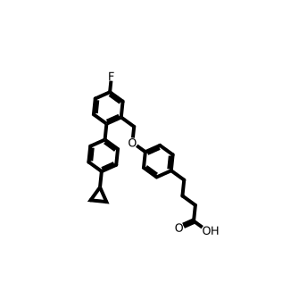 O=C(O)CCCc1ccc(OCc2cc(F)ccc2-c2ccc(C3CC3)cc2)cc1